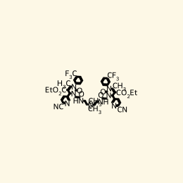 CCOC(=O)C1=C(C)N(c2cccc(C(F)(F)F)c2)C(=O)N(CC(=O)NCC[N+](C)(C)CCNC(=O)CN2C(=O)N(c3cccc(C(F)(F)F)c3)C(C)=C(C(=O)OCC)C2c2ccc(C#N)nc2)C1c1ccc(C#N)nc1